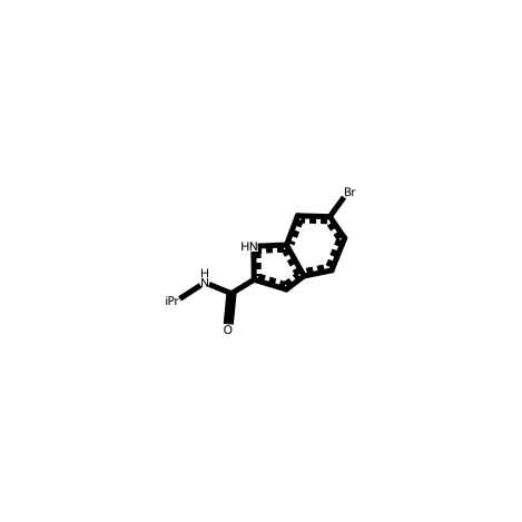 CC(C)NC(=O)c1cc2ccc(Br)cc2[nH]1